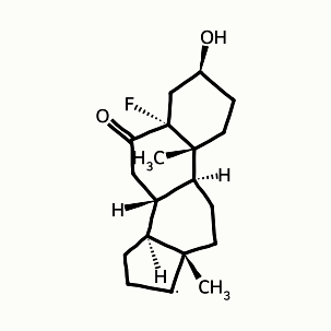 C[C@@]12[CH]CC[C@H]1[C@@H]1CC(=O)[C@@]3(F)C[C@@H](O)CC[C@]3(C)[C@H]1CC2